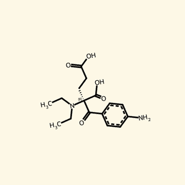 CCN(CC)[C@@](CCC(=O)O)(C(=O)O)C(=O)c1ccc(N)cc1